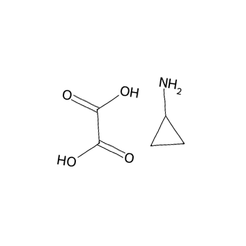 NC1CC1.O=C(O)C(=O)O